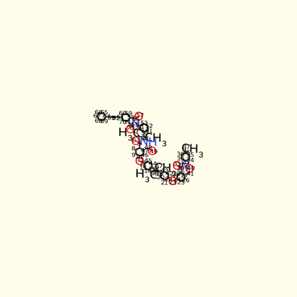 CCC(C)(NC(=O)c1ccc(Oc2ccc(C(C)(C)c3ccc(Oc4ccc5c(c4)C(=O)N(c4ccc(C)cc4)OC5)cc3)cc2)cc1C=O)c1cccc(N2C(=O)c3ccc(C#Cc4ccccc4)cc3C2=O)c1